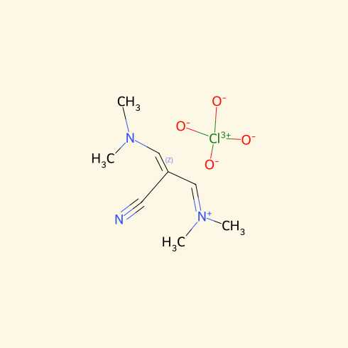 CN(C)/C=C(\C#N)C=[N+](C)C.[O-][Cl+3]([O-])([O-])[O-]